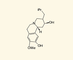 COc1cc2c(cc1O)[C@H]1C[C@H](O)C(CC(C)C)CN1CC2